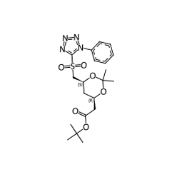 CC(C)(C)OC(=O)C[C@H]1C[C@@H](CS(=O)(=O)c2nnnn2-c2ccccc2)OC(C)(C)O1